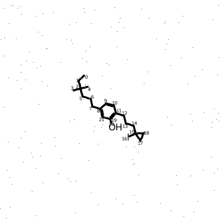 CCC(C)(C)CCCc1ccc(CCCC2(I)CC2)c(O)c1